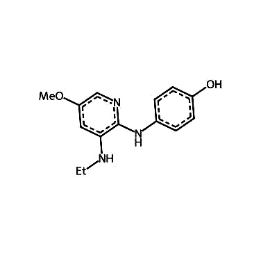 CCNc1cc(OC)cnc1Nc1ccc(O)cc1